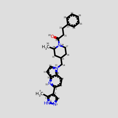 Cc1[nH]ncc1-c1ccc2c(ccn2CC2CCN(C(=O)CCc3ccccc3)C(C)C2)n1